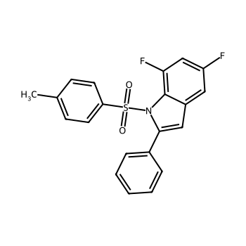 Cc1ccc(S(=O)(=O)n2c(-c3ccccc3)cc3cc(F)cc(F)c32)cc1